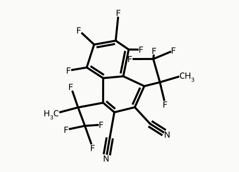 CC(F)(c1c(C#N)c(C#N)c(C(C)(F)C(F)(F)F)c2c(F)c(F)c(F)c(F)c12)C(F)(F)F